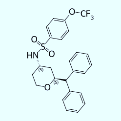 O=S(=O)(N[C@H]1CCO[C@H](C(c2ccccc2)c2ccccc2)C1)c1ccc(OC(F)(F)F)cc1